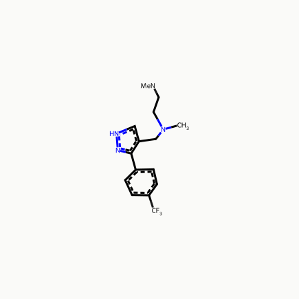 CNCCN(C)Cc1c[nH]nc1-c1ccc(C(F)(F)F)cc1